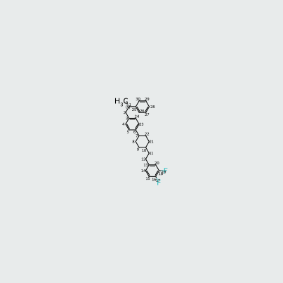 C[C@@H](Cc1ccc(C2CCC(CCc3ccc(F)c(F)c3)CC2)cc1)c1ccccc1